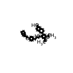 COc1cc(NCCCc2ccc(OCCN3C4CCC3CC4)cc2)c([C@@H]2CCc3cc(O)ccc3C2)cc1OC